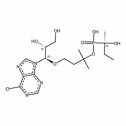 CC[C@](C)(O)P(=O)(O)OC(C)(C)CCO[C@H]([C@H](O)CO)n1cnc2c(Cl)ncnc21